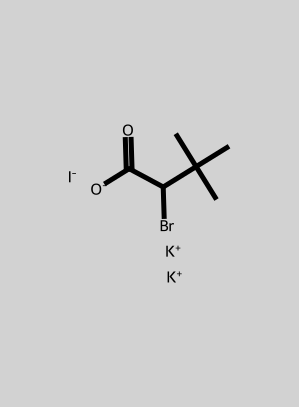 CC(C)(C)C(Br)C(=O)[O-].[I-].[K+].[K+]